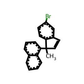 CC1(c2cccc3ccccc23)C=Cc2cc(Br)ccc21